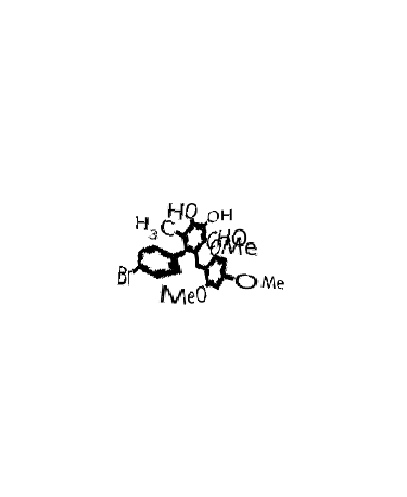 COc1cc(OC)c(Cc2c(C=O)c(O)c(O)c(C)c2-c2ccc(Br)cc2)c(OC)c1